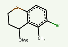 COC1CCSc2ccc(Br)c(C)c21